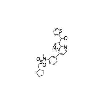 CN(c1cccc(-c2ccnc3c(C(=O)c4cccs4)cnn23)c1)S(=O)(=O)CC1CCCC1